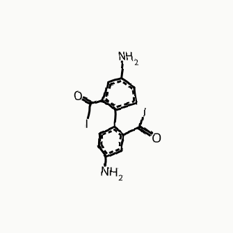 Nc1ccc(-c2ccc(N)cc2C(=O)I)c(C(=O)I)c1